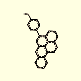 CC(C)COc1ccc(-c2cc3cc4ccccc4c4ccc5cccc2c5c34)cc1